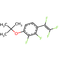 CC(C)(C)Oc1ccc(C(F)=C(F)F)c(F)c1F